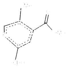 COC(=O)c1cc(C=O)ncc1OC